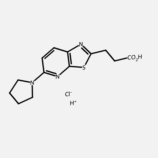 O=C(O)CCc1nc2ccc(N3CCCC3)nc2s1.[Cl-].[H+]